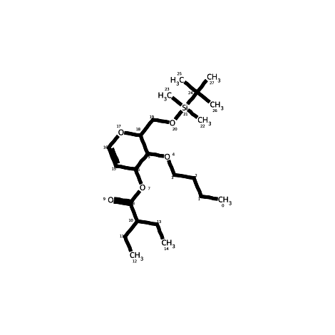 CCCCOC1C(OC(=O)C(CC)CC)C=COC1CO[Si](C)(C)C(C)(C)C